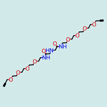 C#CCOCCOCCOCCOCCNC(=O)CNCC(=O)NCCOCCOCCOCCOCC#C